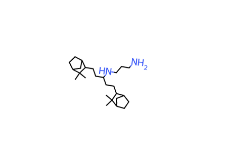 CC1(C)C2CCC(C2)C1CCC(CCC1C2CCC(C2)C1(C)C)NCCCN